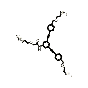 [N-]=[N+]=NCCOCC(=O)Nc1cc(C#Cc2ccc(COCCN)cc2)cc(C#Cc2ccc(COCCN)cc2)c1